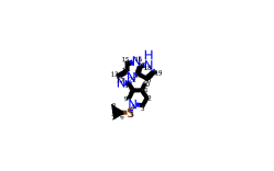 CC1CCN(SC2CC2)CC1c1ncc2cnc3[nH]ccc3n12